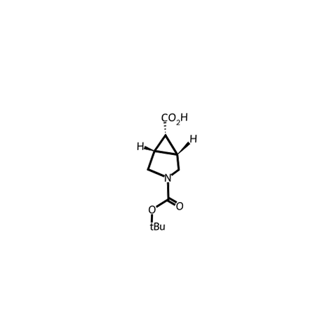 CC(C)(C)OC(=O)N1C[C@@H]2[C@H](C1)[C@@H]2C(=O)O